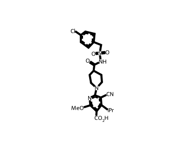 COc1nc(N2CCC(C(=O)NS(=O)(=O)Cc3ccc(Cl)cc3)CC2)c(C#N)c(C(C)C)c1C(=O)O